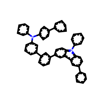 c1ccc(-c2ccc(N(c3ccccc3)c3cccc(-c4cccc(-c5ccc6c(c5)c5cc(-c7ccccc7)ccc5n6-c5ccccc5)c4)c3)cc2)cc1